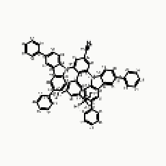 Cc1cc(-c2c(-n3c4ccc(-c5ccccc5)cc4c4cc(-c5ccccc5)ccc43)cc(C#N)cc2-n2c3ccc(-c4ccccc4)cc3c3cc(-c4ccccc4)ccc32)cc(C(F)(F)F)c1